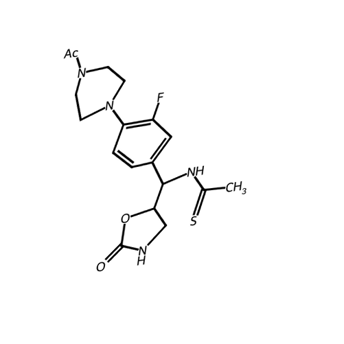 CC(=O)N1CCN(c2ccc(C(NC(C)=S)C3CNC(=O)O3)cc2F)CC1